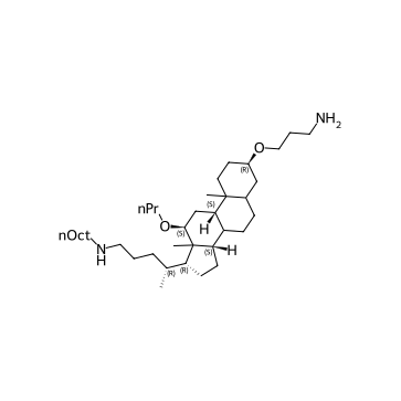 CCCCCCCCNCCC[C@@H](C)[C@H]1CC[C@H]2C3CCC4C[C@H](OCCCN)CCC4(C)[C@H]3C[C@H](OCCC)C12C